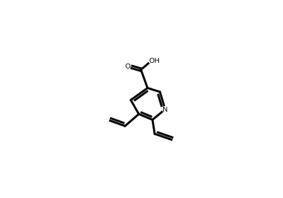 C=Cc1cc(C(=O)O)cnc1C=C